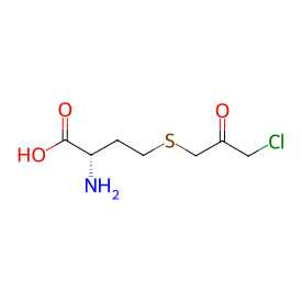 N[C@@H](CCSCC(=O)CCl)C(=O)O